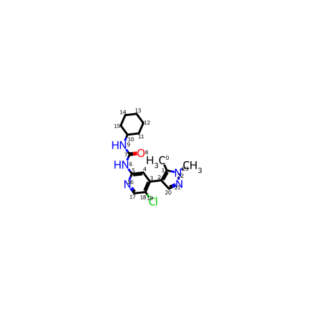 Cc1c(-c2cc(NC(=O)NC3CCCCC3)ncc2Cl)cnn1C